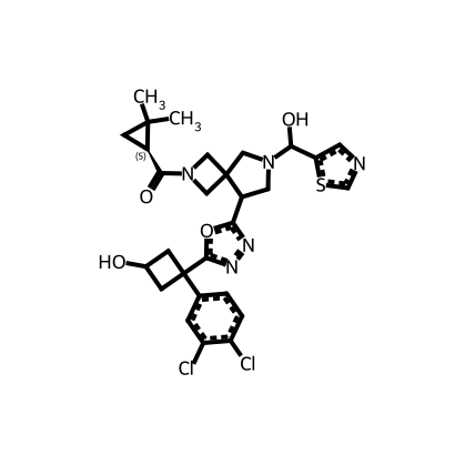 CC1(C)C[C@@H]1C(=O)N1CC2(C1)CN(C(O)c1cncs1)CC2c1nnc(C2(c3ccc(Cl)c(Cl)c3)CC(O)C2)o1